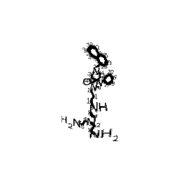 NCCN(CCN)CCNCCCN1CN(c2ccccc2)C2(CCN(Cc3cccc4ccccc34)CC2)C1=O